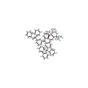 CC1(C)CCC(C)(C)c2cc(-c3cc4c(cc3N(c3ccccc3)c3cccc(-c5cc6ccccc6c6ccccc56)c3)C(c3ccccc3)(c3ccccc3)c3ccccc3-4)ccc21